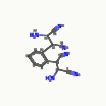 N#CC(N)C(C#N)c1ccccc1C(C#N)C(N)C#N